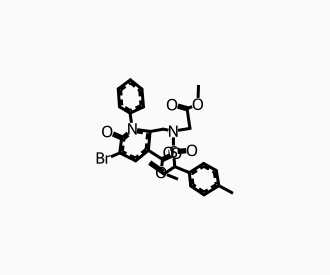 C=CC(c1ccc(C)cc1)S(=O)(=O)N(CC(=O)OC)Cc1c(C(=O)OC)cc(Br)c(=O)n1-c1ccccc1